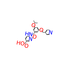 CC(C)Oc1cc(OCc2ccncc2)cc(C(=O)Nc2ccc(C(=O)O)cn2)c1